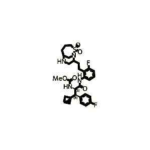 COC(=O)N[C@H](C(=O)Nc1cccc(F)c1CCC1CNC2CCCS(=O)(=O)N1C2)[C@@H](c1ccc(F)cc1)C12CC(C1)C2